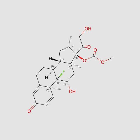 COC(=O)O[C@]1(C(=O)CO)[C@@H](C)C[C@H]2[C@@H]3CCC4=CC(=O)C=C[C@]4(C)[C@@]3(F)[C@@H](O)C[C@@]21C